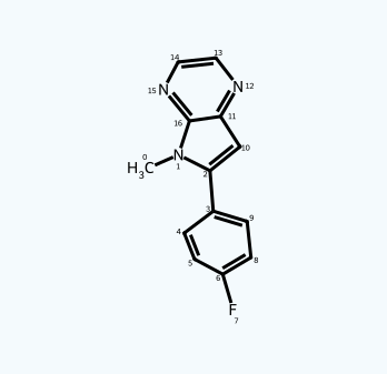 Cn1c(-c2ccc(F)cc2)cc2nccnc21